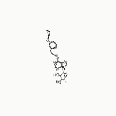 C[C@H]1O[C@@H](n2cnc3c(SCc4cccc(OC5CC5)c4)ncnc32)[C@H](O)[C@@H]1O